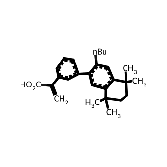 C=C(C(=O)O)c1cccc(-c2cc3c(cc2CCCC)C(C)(C)CCC3(C)C)c1